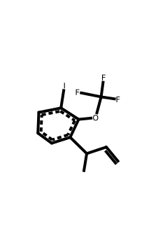 C=C[C](C)c1cccc(I)c1OC(F)(F)F